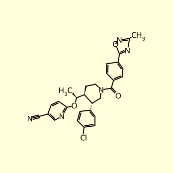 Cc1noc(-c2ccc(C(=O)N3CC[C@H]([C@H](C)Oc4ccc(C#N)cn4)[C@@H](c4ccc(Cl)cc4)C3)cc2)n1